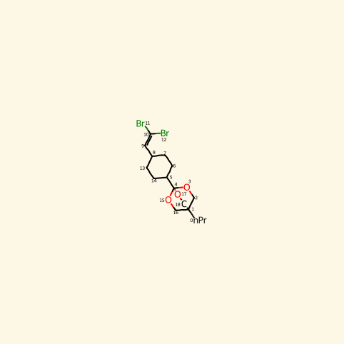 CCCC12COC(C3CCC(C=C(Br)Br)CC3)(OC1)OC2